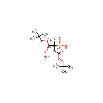 CC(C)(C)COC(=O)CC(C)(C(=O)OCC(C)(C)C)S(=O)(=O)O.[NaH]